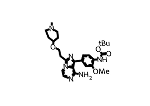 COc1cc(-c2nc(CCOC3CCN(C)CC3)n3ccnc(N)c23)ccc1NC(=O)OC(C)(C)C